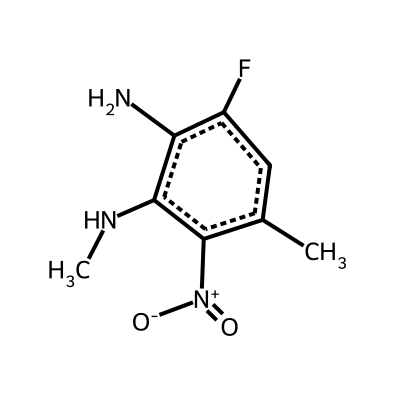 CNc1c(N)c(F)cc(C)c1[N+](=O)[O-]